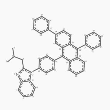 CC(C)Cc1nc2ccccc2n1-c1ccc(-c2c3ccccc3c(-c3ccccc3)c3ccc(-c4ccccc4)cc23)cc1